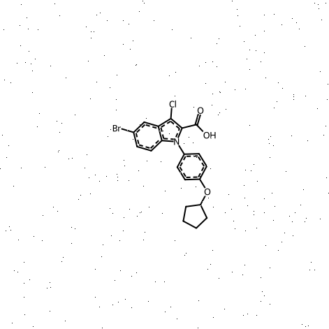 O=C(O)c1c(Cl)c2cc(Br)ccc2n1-c1ccc(OC2CCCC2)cc1